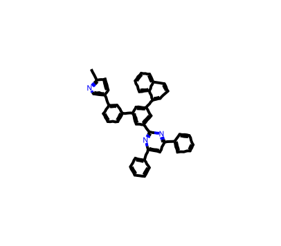 Cc1ccc(-c2cccc(-c3cc(-c4nc(-c5ccccc5)cc(-c5ccccc5)n4)cc(-c4cccc5ccccc45)c3)c2)cn1